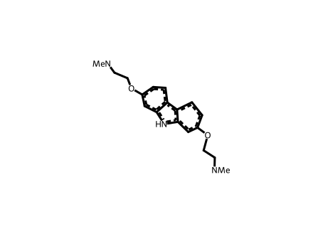 CNCCOc1ccc2c(c1)[nH]c1cc(OCCNC)ccc12